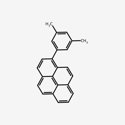 Cc1cc(C)cc(-c2ccc3ccc4cccc5ccc2c3c45)c1